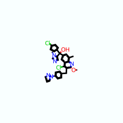 COc1nc2c(C)cc(C(O)(c3ccc(Cl)cc3)c3cncn3C)cc2c(Cl)c1Cc1ccc(-n2cccn2)cc1